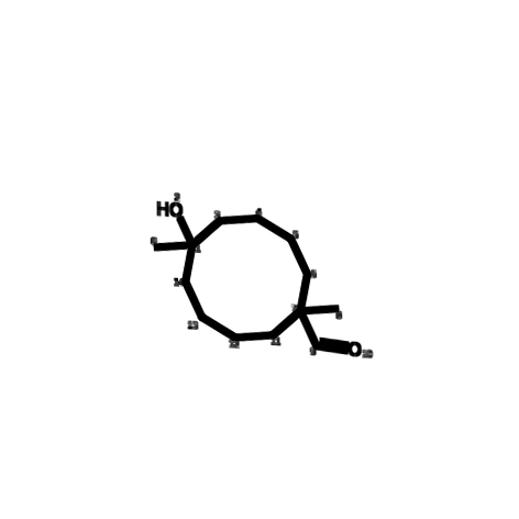 CC1(O)CCCCC(C)(C=O)CCCC1